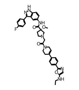 CCNc1cnc(-c2ccc(C3=CCN(C(=O)CN4CC[C@@](OC)(C(=O)Nc5ccc6[nH]nc(-c7ccc(F)cc7)c6c5)C4)CC3)cc2)o1